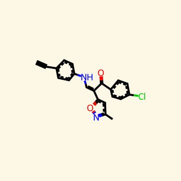 C#Cc1ccc(NC=C(C(=O)c2ccc(Cl)cc2)c2cc(C)no2)cc1